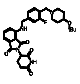 CC(C)(C)OC1CCN(Cc2ccc(CNc3cccc4c3C(=O)N(C3CCC(=O)NC3=O)C4=O)cc2F)CC1